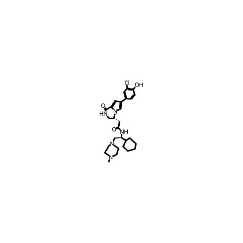 CN1CCN(C[C@@H](NC(=O)C[C@@H]2CNC(=O)c3cc(-c4ccc(O)c(Cl)c4)cn32)C2CCCCC2)CC1